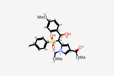 COCn1cc(C(=O)OC)cc1C(C(O)c1ccc(OC)cc1)S(=O)(=O)c1ccc(C)cc1